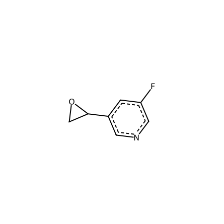 Fc1cncc(C2CO2)c1